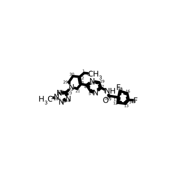 CCC1=C(c2cnc(NC(=O)c3ccc(F)cc3F)cn2)CN(c2nnn(C)n2)CC1